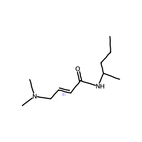 CCCC(C)NC(=O)/C=C/CN(C)C